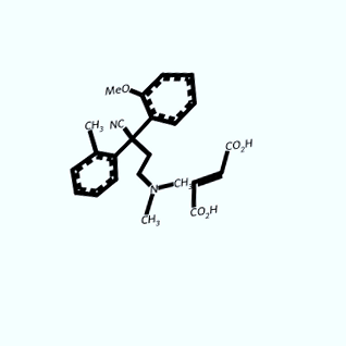 COc1ccccc1C(C#N)(CCN(C)C)c1ccccc1C.O=C(O)C=CC(=O)O